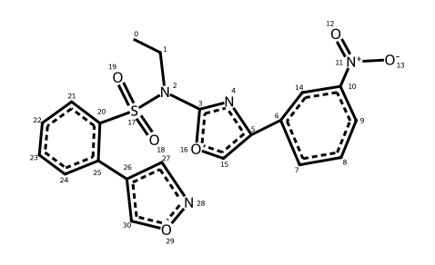 CCN(c1nc(-c2cccc([N+](=O)[O-])c2)co1)S(=O)(=O)c1ccccc1-c1cnoc1